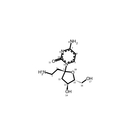 NCC[C@]1(n2ccc(N)nc2=O)C[C@H](O)[C@@H](CO)O1